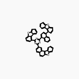 c1ccc2c(c1)oc1cccc(-c3nc(-c4ccc5ccc6oc7ccccc7c6c5c4)nc(-c4ccc(-c5cccc6oc7ccccc7c56)c5ccccc45)n3)c12